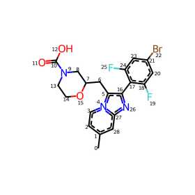 Cc1ccn2c(CC3CN(C(=O)O)CCO3)c(-c3c(F)cc(Br)cc3F)nc2c1